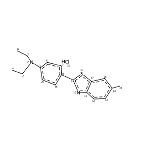 CCN(CC)c1ccc(-c2nc3ccc(C)cc3s2)cc1.Cl